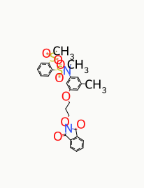 Cc1cc(OCCCON2C(=O)c3ccccc3C2=O)cc(N(C)S(=O)(=O)c2ccccc2S(C)(=O)=O)c1